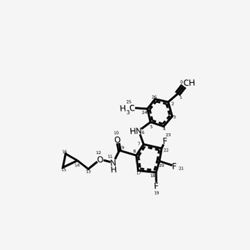 C#Cc1ccc(Nc2c(C(=O)NOCC3CC3)cc(F)c(F)c2F)c(C)c1